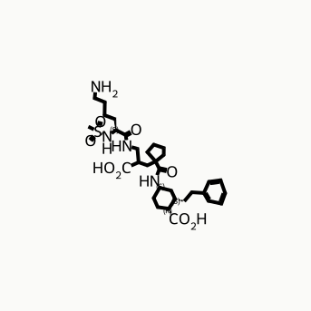 CS(=O)(=O)N[C@@H](CCCCN)C(=O)NCC(CC1(C(=O)N[C@H]2CC[C@@H](C(=O)O)[C@@H](CCc3ccccc3)C2)CCCC1)C(=O)O